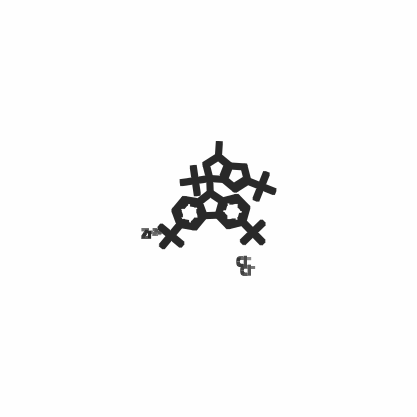 CC1CC(C2c3ccc(C(C)(C)C)cc3-c3cc(C(C)(C)C)ccc32)(C(C)(C)C)C2=C1CC(C(C)(C)C)=C2.[Cl-].[Cl-].[Zr+2]